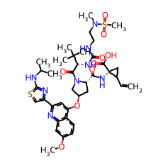 C=CC1C[C@]1(NC(=O)[C@@H]1C[C@@H](Oc2cc(-c3csc(NC(C)C)n3)nc3cc(OC)ccc23)CN1C(=O)[C@@H](NC(=O)NCCN(C)S(C)(=O)=O)C(C)(C)C)C(=O)O